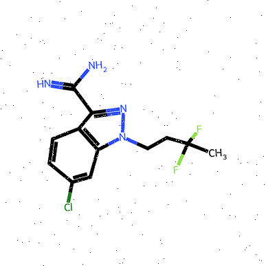 CC(F)(F)CCn1nc(C(=N)N)c2ccc(Cl)cc21